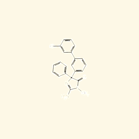 CN1C(=O)C(c2ccccc2)(c2cccc(-c3cccc(Cl)c3)c2)N=C1N